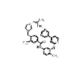 Cc1ccc(NC(=O)c2ccc(CN3CC[C@H](CN(C)C)C3)c(C(F)(F)F)c2)cc1Nc1nccc(-c2cncnc2)n1